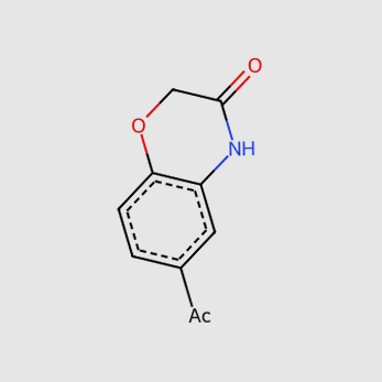 CC(=O)c1ccc2c(c1)NC(=O)CO2